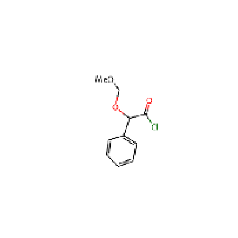 COCOC(C(=O)Cl)c1ccccc1